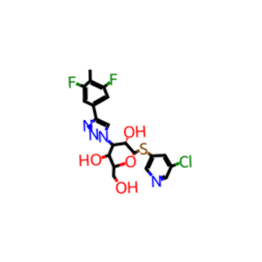 Cc1c(F)cc(-c2cn(C3C(O)C(CO)OC(Sc4cncc(Cl)c4)[C@H]3O)nn2)cc1F